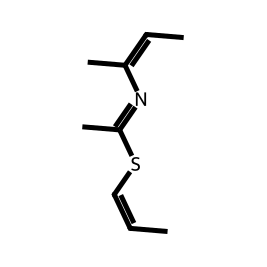 C/C=C\S/C(C)=N/C(C)=C\C